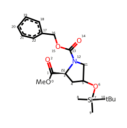 COC(=O)[C@@H]1CC(O[Si](C)(C)C(C)(C)C)CN1C(=O)OCc1ccccc1